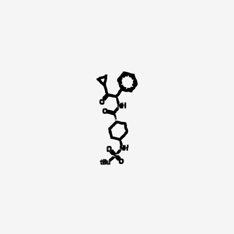 CC(C)(C)S(=O)(=O)N[C@H]1CC[C@H](C(=O)N[C@@H](C(=O)C2CC2)c2ccccc2)CC1